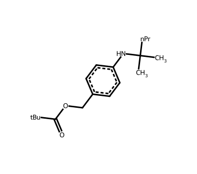 CCCC(C)(C)Nc1ccc(COC(=O)C(C)(C)C)cc1